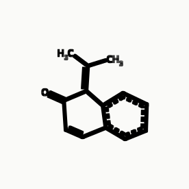 CC(C)=C1C(=O)C=Cc2ccccc21